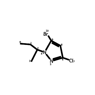 CCC(C)n1nc(Cl)cc1Br